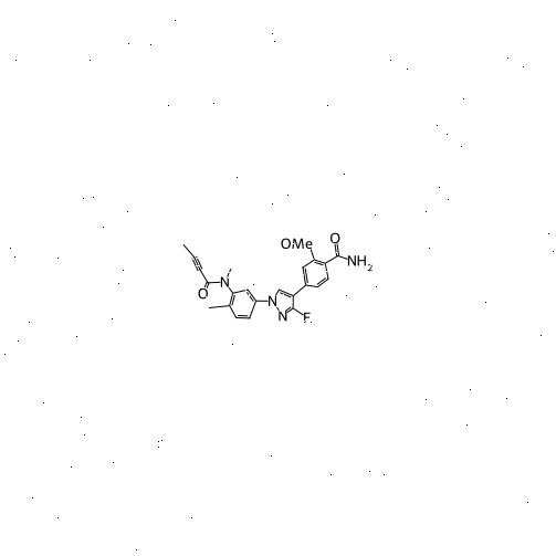 CC#CC(=O)N(C)c1cc(-n2cc(-c3ccc(C(N)=O)c(OC)c3)c(F)n2)ccc1C